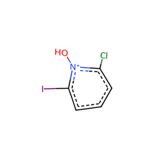 O[n+]1c(Cl)cccc1I